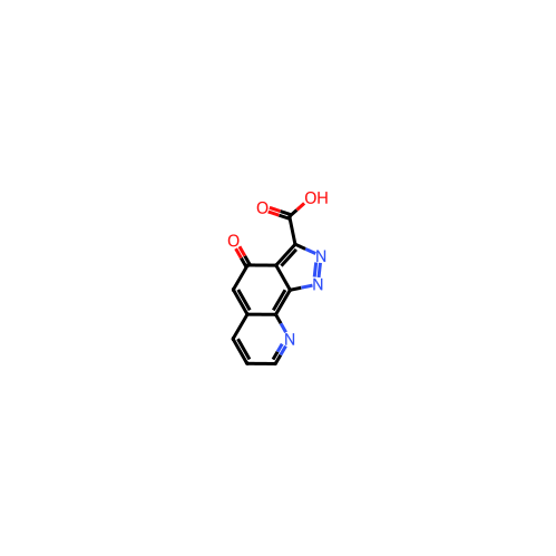 O=C(O)C1=C2C(=O)C=c3cccnc3=C2N=N1